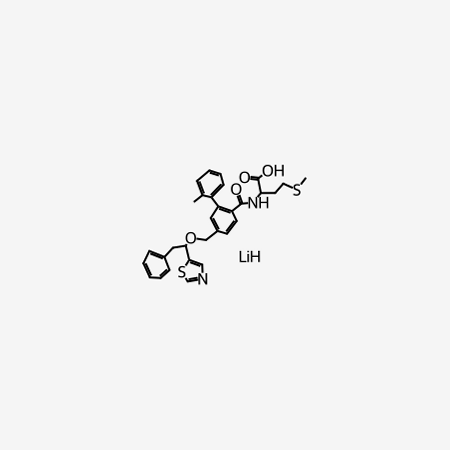 CSCCC(NC(=O)c1ccc(COC(Cc2ccccc2)c2cncs2)cc1-c1ccccc1C)C(=O)O.[LiH]